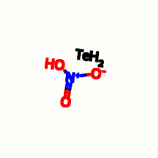 O=[N+]([O-])O.[TeH2]